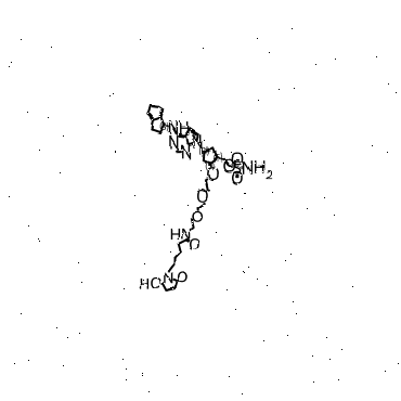 NS(=O)(=O)OC[C@@H]1C[C@@H](n2ccc3c(N[C@H]4CCc5ccccc54)ncnc32)C[C@@H]1OCCOCCOCCNC(=O)CCCCCN1C(=O)C=CC1O